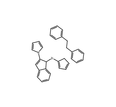 C1=CC[C]([Zr][CH]2C(n3cccc3)=Cc3ccccc32)=C1.c1ccc(CCc2ccccc2)cc1